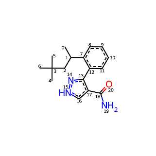 CC(CC(C)(C)C)c1ccccc1-c1n[nH]cc1C(N)=O